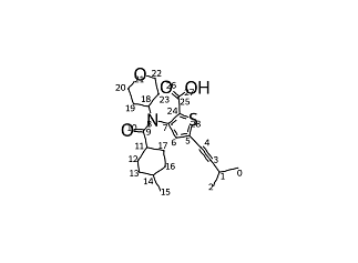 CC(C)C#Cc1cc(N(C(=O)C2CCC(C)CC2)C2CCOCC2)c(C(=O)O)s1